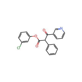 O=C(Oc1cccc(Cl)c1)C(C(=O)c1cccnc1)c1ccccc1